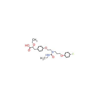 CCNC(=O)N(CCCOc1ccc(F)cc1)CCOc1ccc(CC(OCC)C(=O)O)cc1